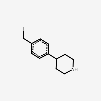 ICc1ccc(C2CCNCC2)cc1